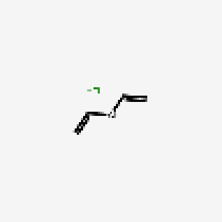 C=[CH][Al][CH]=C.Cl